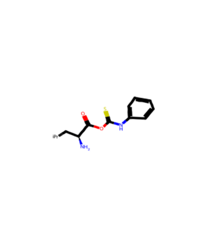 CC(C)C[C@H](N)C(=O)OC(=S)Nc1ccccc1